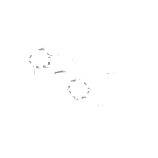 COc1ccc(C(C#N)=Cc2c(Cl)cncc2Cl)nc1OCCO